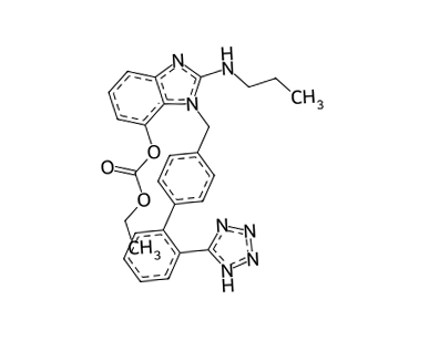 CCCNc1nc2cccc(OC(=O)OCC)c2n1Cc1ccc(-c2ccccc2-c2nnn[nH]2)cc1